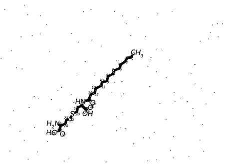 CCCCCCCCCCCCCCCC(=O)NC(CCSSCCC(N)C(=O)O)C(=O)O